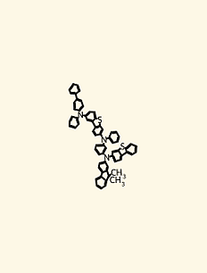 CC1(C)c2ccccc2-c2ccc(N(c3cccc(N(c4ccccc4)c4ccc5c(c4)sc4ccc(N(c6ccccc6)c6ccc(-c7ccccc7)cc6)cc45)c3)c3ccc4c(c3)sc3ccccc34)cc21